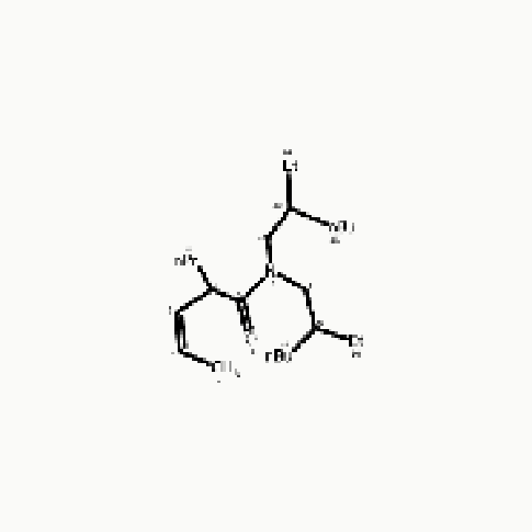 C/C=C\C(CCC)C(=O)N(CC(CC)CCCC)CC(CC)CCCC